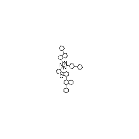 c1ccc(-c2ccc(-c3nc(-c4cccc5c(-c6ccccc6)cccc45)nc(-c4cccc5oc6c(-c7ccc(-c8ccccc8)c8ccccc78)cccc6c45)n3)cc2)cc1